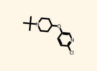 CC(C)(C)N1CCC(Oc2ccc(Cl)nc2)CC1